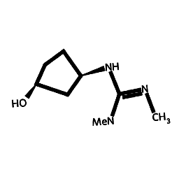 C/N=C(\NC)N[C@@H]1CC[C@H](O)C1